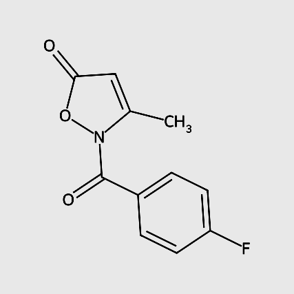 Cc1cc(=O)on1C(=O)c1ccc(F)cc1